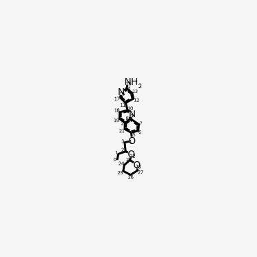 CCC(COc1ccc2nc(-c3ccc(N)nc3)ccc2c1)OC1CCCCO1